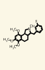 COc1cc(OC)c2c(c1OC)CCC1C2CN(C)C1Cc1cccc(F)c1